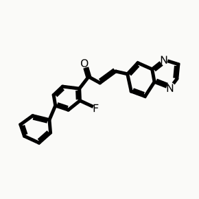 O=C(/C=C/c1ccc2nccnc2c1)c1ccc(-c2ccccc2)cc1F